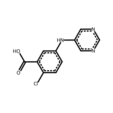 O=C(O)c1cc(Nc2cncnc2)ccc1Cl